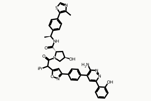 Cc1ncsc1-c1ccc([C@H](C)NC(=O)[C@@H]2C[C@@H](O)CN2C(=O)C(c2cc(-c3ccc(-c4cc(-c5ccccc5O)nnc4N)cc3)no2)C(C)C)cc1